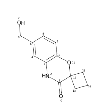 O=C1Nc2cc(CO)ccc2OC12CCC2